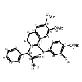 COc1ccc(CC2c3cc(OC)c(OC)cc3CCN2C(C(N)=O)c2ccccc2)cc1F